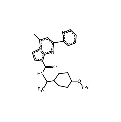 CCCOC1CCC(C(NC(=O)c2ccn3c(C)cc(-c4ccccn4)nc23)C(F)(F)F)CC1